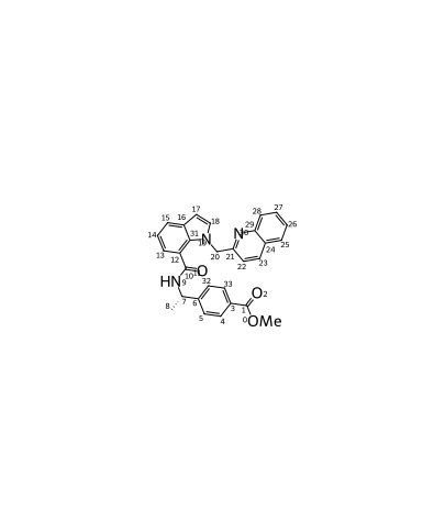 COC(=O)c1ccc([C@H](C)NC(=O)c2cccc3ccn(Cc4ccc5ccccc5n4)c23)cc1